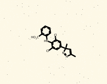 CC1=CC(C)(c2cc(Cl)c(Nc3ccccc3C(=O)O)c(Cl)c2)N=N1